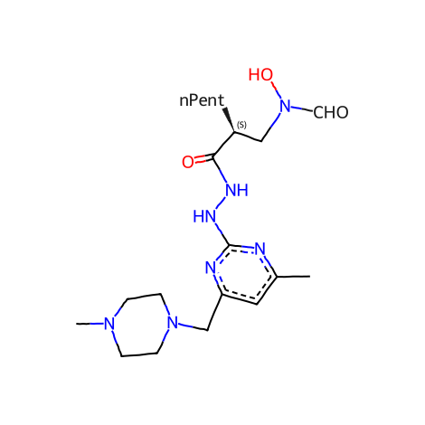 CCCCC[C@@H](CN(O)C=O)C(=O)NNc1nc(C)cc(CN2CCN(C)CC2)n1